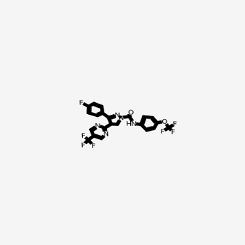 O=C(Nc1ccc(OC(F)(F)F)cc1)N1CC(c2ncc(C(F)(F)F)cn2)C(c2ccc(F)cc2)=N1